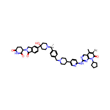 CC(=O)c1c(C)c2cnc(Nc3ccc(C4CCN(Cc5ccc([C@@H](C)N6CCC(O)(c7ccc8c(c7)CN(C7CCC(=O)NC7=O)C8=O)CC6)cc5)CC4)cn3)nc2n(C2CCCC2)c1=O